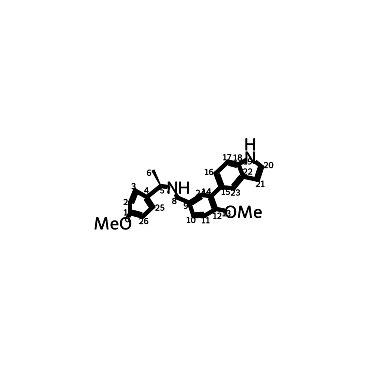 COc1ccc([C@@H](C)NCc2ccc(OC)c(-c3ccc4[nH]ccc4c3)c2)cc1